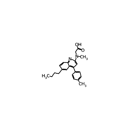 CCCCc1ccc2nc(N(C)CC(=O)O)cc(-c3ccc(C)cc3)c2c1